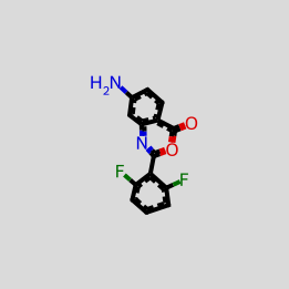 Nc1ccc2c(=O)oc(-c3c(F)cccc3F)nc2c1